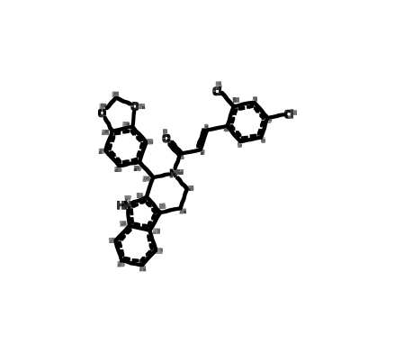 O=C(C=Cc1ccc(Cl)cc1Cl)N1CCc2c([nH]c3ccccc23)C1c1ccc2c(c1)OCO2